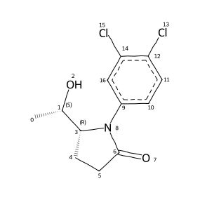 C[C@H](O)[C@H]1CCC(=O)N1c1ccc(Cl)c(Cl)c1